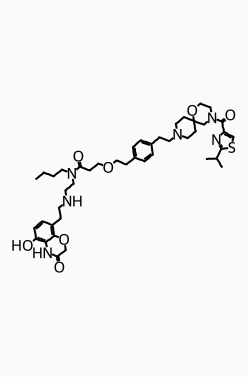 CCCCN(CCNCCc1ccc(O)c2c1OCC(=O)N2)C(=O)CCOCCc1ccc(CCN2CCC3(CC2)CN(C(=O)c2csc(C(C)C)n2)CCO3)cc1